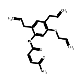 C=CCOc1cc(NC(=O)/C=C\C(N)=O)c(CC=C)cc1CC=C